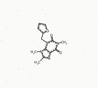 Cc1nc2c(=O)n(C)c(=O)n(Cc3ccco3)c2n1C